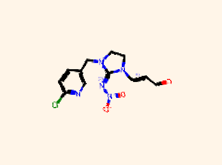 O=C/C=C/N1CCN(Cc2ccc(Cl)nc2)/C1=N/[N+](=O)[O-]